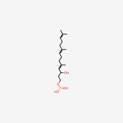 CC(C)=CCC/C(C)=C/CC/C(C)=C/C(O)CCOP(O)O